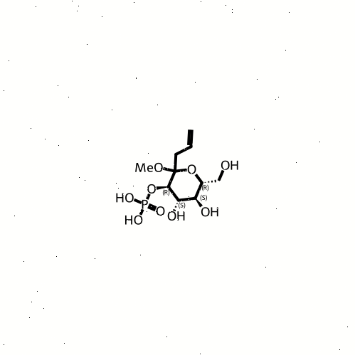 C=CCC1(OC)O[C@H](CO)[C@@H](O)[C@H](O)[C@H]1OP(=O)(O)O